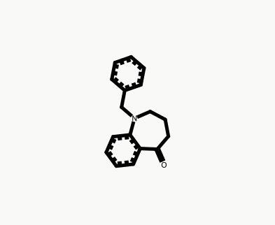 O=C1CCCN(Cc2ccccc2)c2ccccc21